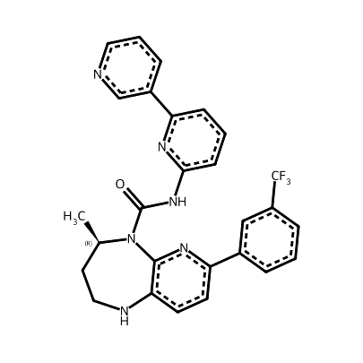 C[C@@H]1CCNc2ccc(-c3cccc(C(F)(F)F)c3)nc2N1C(=O)Nc1cccc(-c2cccnc2)n1